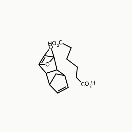 C1=CC2CC1C1C3=C4OC4(O3)C21.O=C(O)CCCCC(=O)O